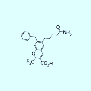 NC(=O)CCCCc1cc2c(cc1Cc1ccccc1)OC(C(F)(F)F)C(C(=O)O)=C2